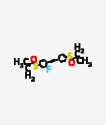 C=C(C)C(=O)Sc1ccc(C#Cc2ccc(SC(=O)C(=C)C)cc2F)cc1